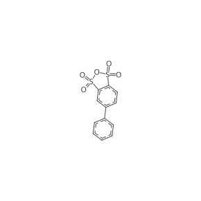 O=S1(=O)OS(=O)(=O)c2cc(-c3ccccc3)ccc21